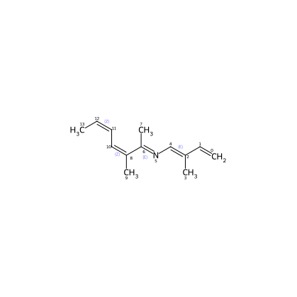 C=C/C(C)=C/N=C(C)/C(C)=C\C=C/C